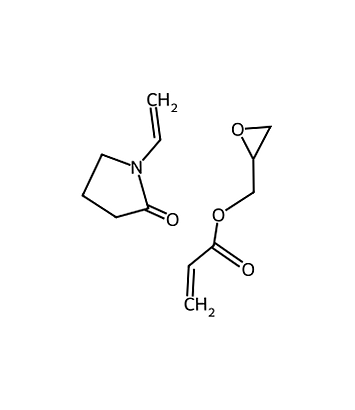 C=CC(=O)OCC1CO1.C=CN1CCCC1=O